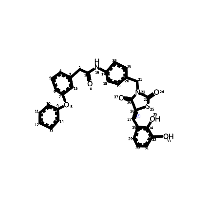 O=C(Cc1cccc(Oc2ccccc2)c1)Nc1ccc(CN2C(=O)S/C(=C\c3cccc(O)c3O)C2=O)cc1